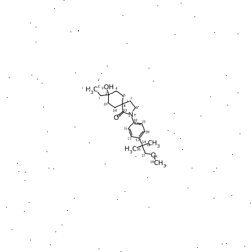 CCC1(O)CCC2(CCN(c3ccc(C(C)(C)COC)cc3)C2=O)CC1